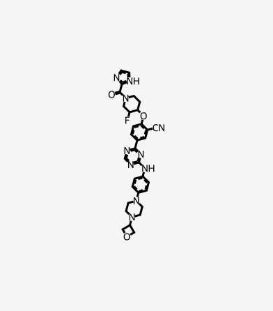 N#Cc1cc(-c2ncnc(Nc3ccc(N4CCN(C5COC5)CC4)cc3)n2)ccc1OC1CCN(C(=O)c2ncc[nH]2)CC1F